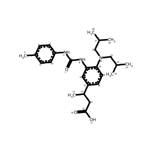 Cc1ccc(NC(=O)Nc2cc(C(C)CC(=O)O)ccc2N(CC(C)C)CC(C)C)cc1